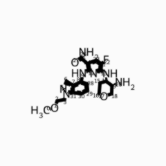 COCCn1ncc2c(Nc3nc(N[C@@H]4CCOC[C@@H]4N)c(F)cc3C(N)=O)cccc21